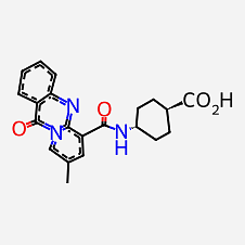 Cc1cc(C(=O)N[C@H]2CC[C@H](C(=O)O)CC2)c2nc3ccccc3c(=O)n2c1